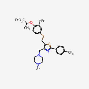 CCCc1cc(SCc2sc(-c3ccc(C(F)(F)F)cc3)nc2CN2CCN(C(C)=O)CC2)ccc1OC(C)C(=O)OCC